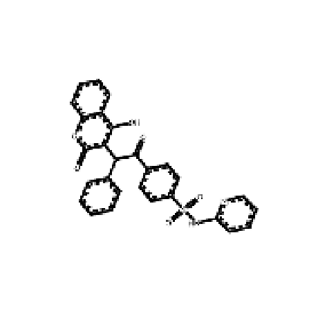 O=C(c1ccc(S(=O)(=O)Nc2ccccn2)cc1)C(c1ccccc1)c1c(O)c2ccccc2oc1=O